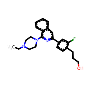 CCN1CCN(c2nc(-c3ccc(CCCO)c(F)c3)cc3ccccc23)CC1